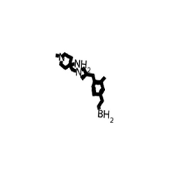 BCCc1ccc(CC2CN(CC3(N)CCN(C)CC3)C2)c(C)c1